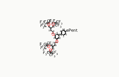 CCCCCc1ccc(-c2cc(OCCC(COC(C(F)(F)F)(C(F)(F)F)C(F)(F)F)COC(C(F)(F)F)(C(F)(F)F)C(F)(F)F)cc(OCCC(COC(C(F)(F)F)(C(F)(F)F)C(F)(F)F)COC(C(F)(F)F)(C(F)(F)F)C(F)(F)F)c2)cc1